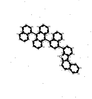 c1ccc2c(-c3c4ccccc4c(-c4ccc(-c5cccc6c5oc5ccc7ccccc7c56)c5ccccc45)c4ccccc34)cccc2c1